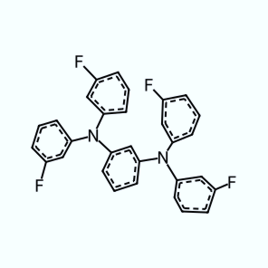 Fc1cccc(N(c2cccc(F)c2)c2cccc(N(c3cccc(F)c3)c3cccc(F)c3)c2)c1